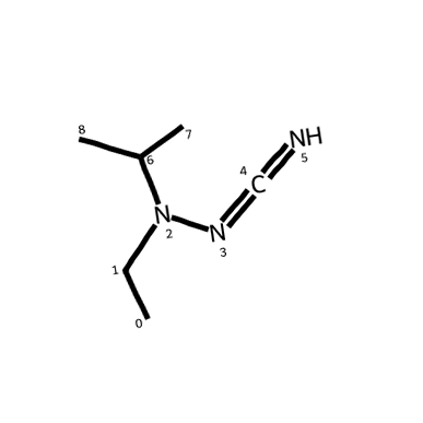 CCN(N=C=N)C(C)C